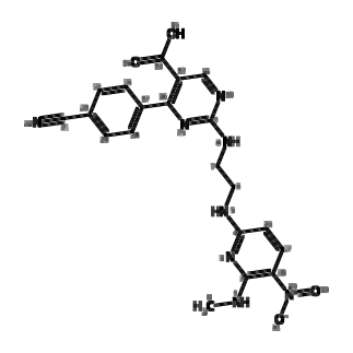 CNc1nc(NCCNc2ncc(C(=O)O)c(-c3ccc(C#N)cc3)n2)ccc1[N+](=O)[O-]